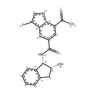 CC(=O)c1cc(C(=O)N[C@H]2c3ccccc3C[C@H]2O)nc2c(F)cnn12